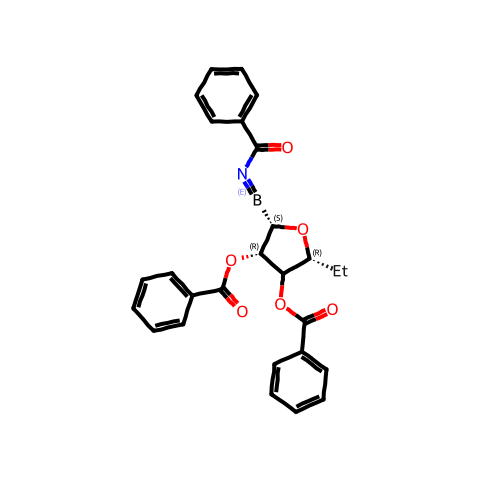 CC[C@H]1O[C@@H](/B=N/C(=O)c2ccccc2)[C@@H](OC(=O)c2ccccc2)C1OC(=O)c1ccccc1